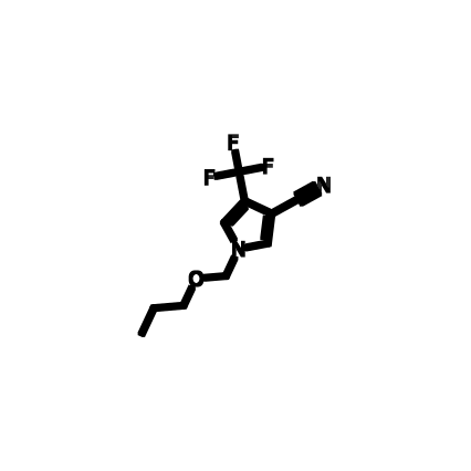 CCCOCn1cc(C#N)c(C(F)(F)F)c1